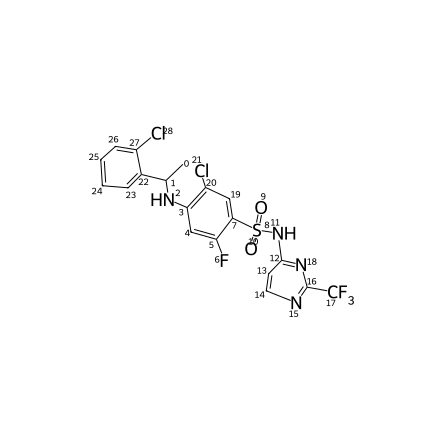 CC(Nc1cc(F)c(S(=O)(=O)Nc2ccnc(C(F)(F)F)n2)cc1Cl)c1ccccc1Cl